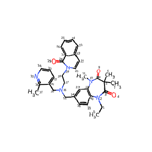 CCN1C(=O)C(C)(C)C(=O)N(C)c2cc(CN(CCn3ccc4ccccc4c3=O)Cc3cccnc3C)ccc21